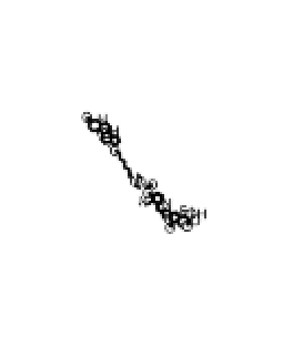 CC[C@@]1(O)C(=O)OCc2c1cc1n(c2=O)Cc2cc3c(CN(C)C)c(OC(=O)N4CCN(CCCCCCO[C@@H]5CC[C@@H]6[C@H]7CC[C@@H]8CC(=O)CC[C@@]8(C)[C@@H]7CC[C@]65C)CC4)ccc3nc2-1